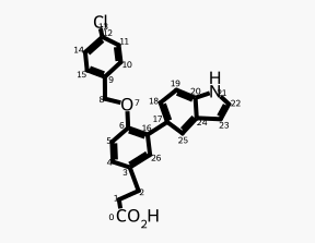 O=C(O)CCc1ccc(OCc2ccc(Cl)cc2)c(-c2ccc3[nH]ccc3c2)c1